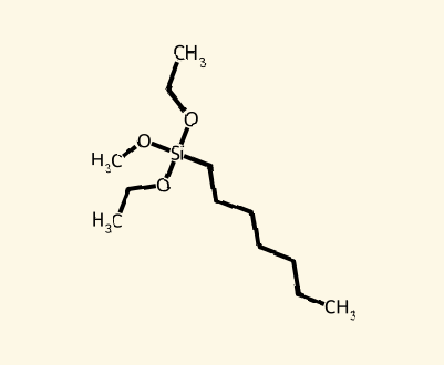 CCCCCCC[Si](OC)(OCC)OCC